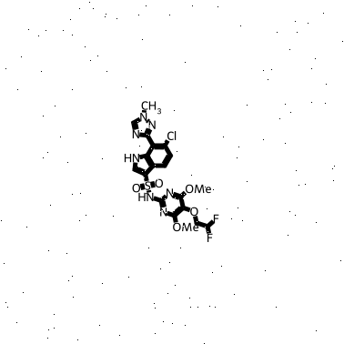 COc1nc(NS(=O)(=O)c2c[nH]c3c(-c4ncn(C)n4)c(Cl)ccc23)nc(OC)c1OCC(F)F